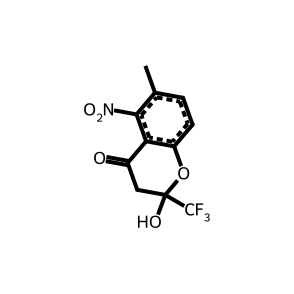 Cc1ccc2c(c1[N+](=O)[O-])C(=O)CC(O)(C(F)(F)F)O2